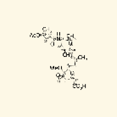 CO[C@@H]1[C@@H](C=CC(C)=CC[C@@H]2O[C@H](C)[C@H](NC(=O)C=C[C@H](C)OC(C)=O)C[C@@H]2C)O[C@H](CC(=O)O)C[C@@]12CO2